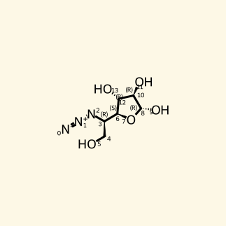 [N-]=[N+]=N[C@H](CO)[C@@H]1O[C@@H](O)[C@H](O)[C@H]1O